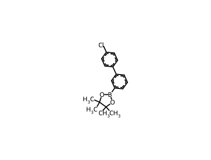 CC1(C)OB(c2cccc(-c3ccc(Cl)cc3)c2)OC1(C)C